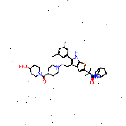 Cc1cc(C)cc(-c2[nH]c3sc(C(C)(C)C(=O)C4C5CCC4NC5)cc3c2CCN2CCC(C(=O)N3CCC(O)CC3)CC2)c1